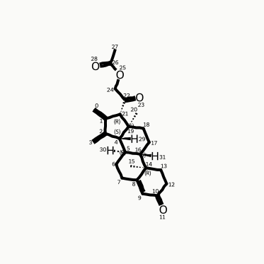 C=C1C(=C)[C@H]2[C@@H]3CCC4=CC(=O)CC[C@]4(C)[C@H]3CC[C@]2(C)[C@H]1C(=O)COC(C)=O